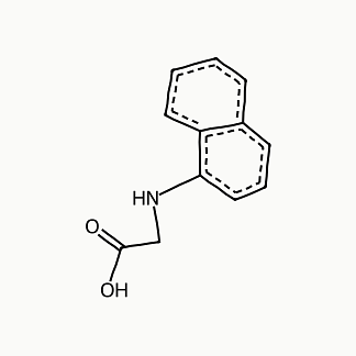 O=C(O)CNc1cccc2ccccc12